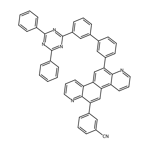 N#Cc1cccc(-c2cc3c4cccnc4c(-c4cccc(-c5cccc(-c6nc(-c7ccccc7)nc(-c7ccccc7)n6)c5)c4)cc3c3cccnc23)c1